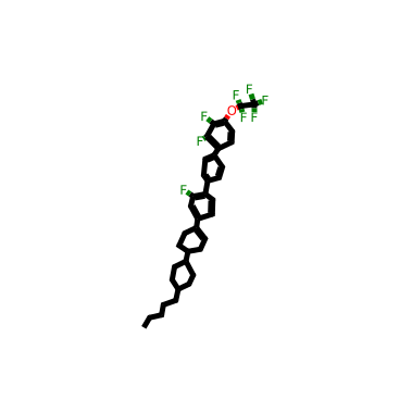 CCCCCC1CCC(C2CC=C(c3ccc(-c4ccc(-c5ccc(OC(F)(F)C(F)(F)F)c(F)c5F)cc4)c(F)c3)CC2)CC1